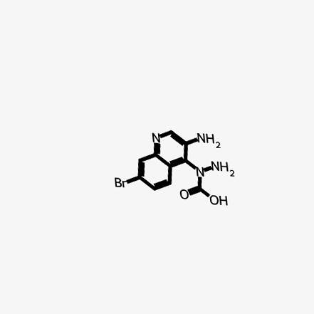 Nc1cnc2cc(Br)ccc2c1N(N)C(=O)O